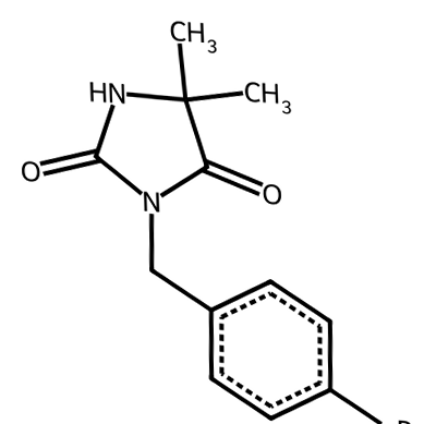 CCCc1ccc(CN2C(=O)NC(C)(C)C2=O)cc1